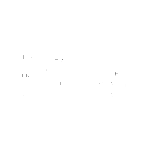 COC1C(O)[C@@H](n2cnc3c(=O)[nH]c(N)nc32)O[C@H]1COP(=O)(O)O